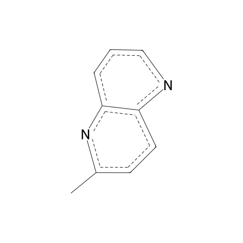 Cc1ccc2ncccc2n1